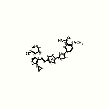 COc1ccc(-c2noc(C34CCC(C=Cc5c(-c6c(Cl)cncc6Cl)noc5C5CC5)(CC3)CO4)n2)cc1C(=O)O